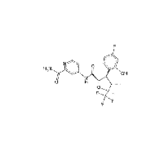 C[C@H]1[C@H](c2ccc(F)cc2O)[C@H](C(=O)Nc2ccnc(C(N)=O)c2)O[C@]1(C)C(F)(F)F